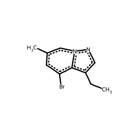 CCc1cnn2cc(C)cc(Br)c12